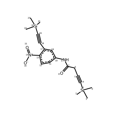 C[Si](C)(C)C#CCC(=O)Nc1ccc([N+](=O)[O-])c(C#C[Si](C)(C)C)c1